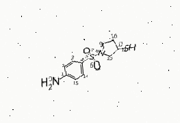 Nc1ccc(S(=O)(=O)N2CCC(S)C2)cc1